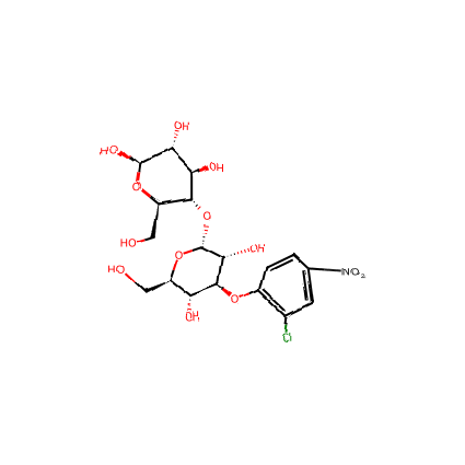 O=[N+]([O-])c1ccc(O[C@@H]2[C@@H](O)[C@@H](O[C@H]3[C@H](O)[C@@H](O)[C@H](O)O[C@@H]3CO)O[C@H](CO)[C@H]2O)c(Cl)c1